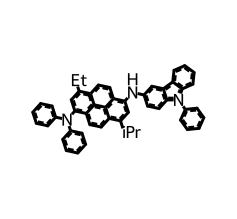 CCc1cc(N(c2ccccc2)c2ccccc2)c2ccc3c(C(C)C)cc(Nc4ccc5c(c4)c4ccccc4n5-c4ccccc4)c4ccc1c2c43